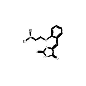 CCN(CC)CCOc1ccccc1/C=C1\SC(=O)NC1=O